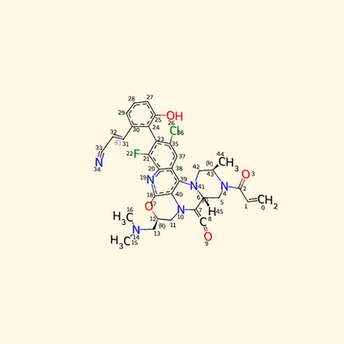 C=CC(=O)N1C[C@@H]2C(=C=O)N3C[C@@H](CN(C)C)Oc4nc5c(F)c(-c6c(O)cccc6/C=C/C#N)c(Cl)cc5c(c43)N2C[C@H]1C